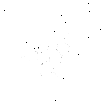 CNC(=O)C(Cc1ccc(OCC(=O)O)cc1)NC(=O)C(CC(C)C)[C@@](O)(C=O)CN